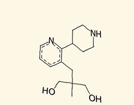 CC(CO)(CO)Cc1cccnc1C1CCNCC1